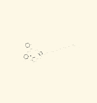 NCCOCCOCCOCCOCCc1cn(CCOC2c3c(O)cc(O)cc3OC(c3cc(O)c(O)c(O)c3)C2OC(=O)C2=CC(O)C(O)C(O)C2)nn1